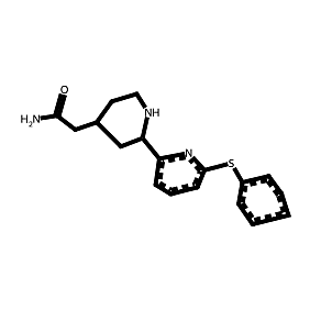 NC(=O)CC1CCNC(c2cccc(Sc3ccccc3)n2)C1